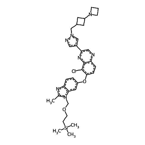 Cc1nc2ccc(Oc3ccc4ncc(-c5cnn(CC6CC(N7CCC7)C6)c5)nc4c3Cl)cc2n1COCC[Si](C)(C)C